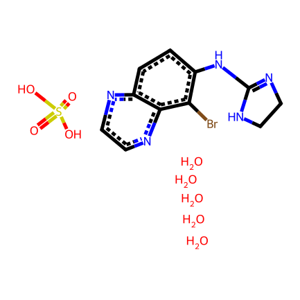 Brc1c(NC2=NCCN2)ccc2nccnc12.O.O.O.O.O.O=S(=O)(O)O